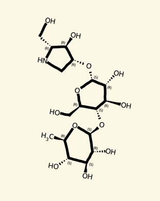 C[C@H]1O[C@@H](O[C@H]2[C@H](O)[C@@H](O)[C@@H](O[C@@H]3CN[C@H](CO)[C@H]3O)O[C@@H]2CO)[C@H](O)[C@@H](O)[C@@H]1O